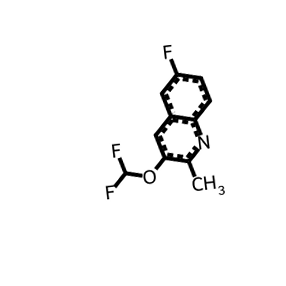 Cc1nc2ccc(F)cc2cc1OC(F)F